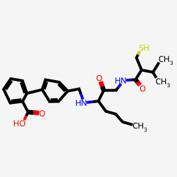 CCCCC(NCc1ccc(-c2ccccc2C(=O)O)cc1)C(=O)CNC(=O)C(CS)C(C)C